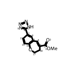 COC(=O)C1=Cc2cc(-c3nnn[nH]3)ccc2OCC1